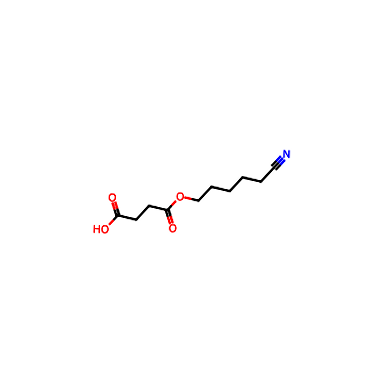 N#CCCCCCOC(=O)CCC(=O)O